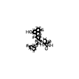 O=C1NC(=O)C2(CCCN(c3nc(OC[C@@]45CCCN4C[C@H](F)C5)nc4c(F)c(-c5cc(O)cc6ccc(F)c(F)c56)ncc34)C2)N1